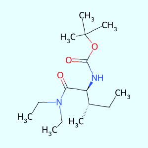 CC[C@H](C)[C@H](NC(=O)OC(C)(C)C)C(=O)N(CC)CC